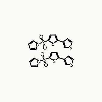 O=S(=O)(c1ccc(-c2ccsc2)s1)n1cccc1.O=S(=O)(c1ccc(-c2ccsc2)s1)n1cccc1